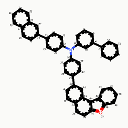 c1ccc(-c2cccc(N(c3ccc(-c4ccc5ccccc5c4)cc3)c3ccc(-c4ccc5ccc6oc7ccccc7c6c5c4)cc3)c2)cc1